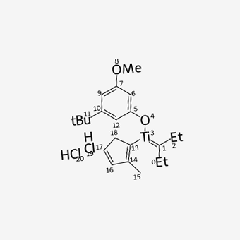 CC[C](CC)=[Ti]([O]c1cc(OC)cc(C(C)(C)C)c1)[C]1=C(C)C=CC1.Cl.Cl